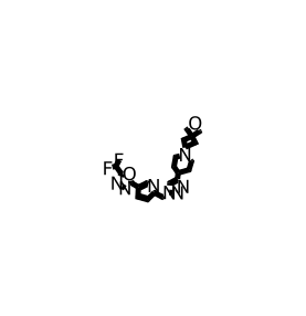 FC(F)c1nnc(-c2ccc(Cn3cc(C4CCN(C5CC6(COC6)C5)CC4)nn3)nc2)o1